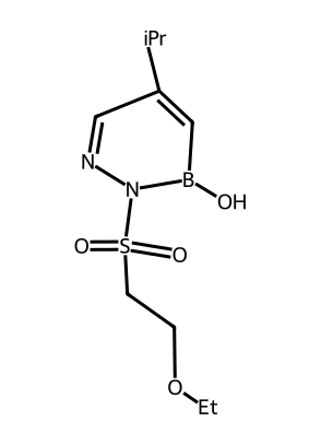 CCOCCS(=O)(=O)N1N=CC(C(C)C)=CB1O